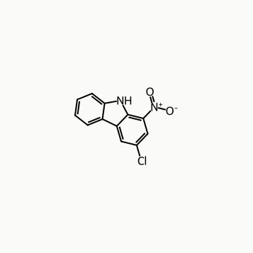 O=[N+]([O-])c1cc(Cl)cc2c1[nH]c1ccccc12